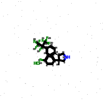 C[C@]1(c2ccc(F)cc2)CNC[C@H]1c1ccc(C(F)(C(F)(F)F)C(F)(F)F)cc1.Cl